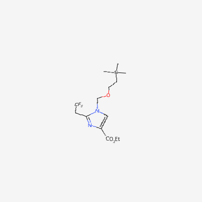 CCOC(=O)c1cn(COCC[Si](C)(C)C)c(CC(F)(F)F)n1